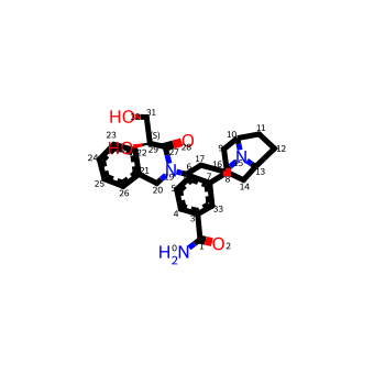 NC(=O)c1cccc(C2CC3CCC(C2)N3CCCN(Cc2ccccc2)C(=O)[C@@H](O)CO)c1